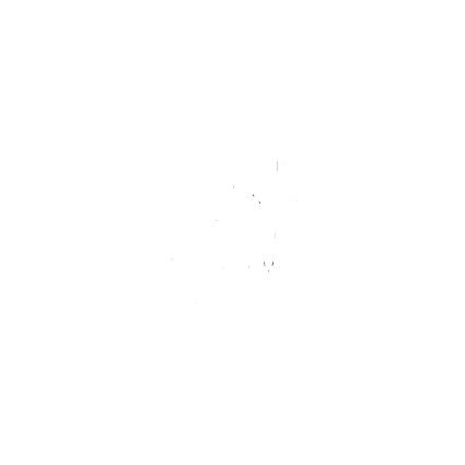 COc1c(-c2cccc(I)[n+]2C)ccc2ccccc12